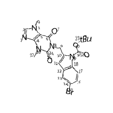 Cn1cnc2c1c(=O)n(Cc1cc3cc(Br)ccc3n1C(=O)OC(C)(C)C)c(=O)n2C